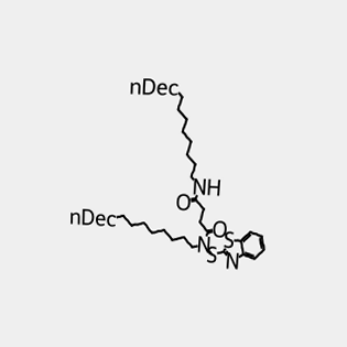 CCCCCCCCCCCCCCCCCCNC(=O)CCC(=O)N(CCCCCCCCCCCCCCCCCC)Sc1nc2ccccc2s1